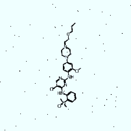 CCCOCCN1CCN(c2ccc(Nc3ncc(Cl)c(Nc4ccccc4P(C)(C)=O)n3)c(OC)c2)CC1